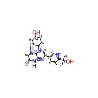 CC(C)(O)c1ccc(C2=CN(C3CCC(O)CC3)C3NCC(=O)NC3=N2)cn1